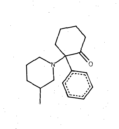 CC1CCCN(C2(c3ccccc3)CCCCC2=O)C1